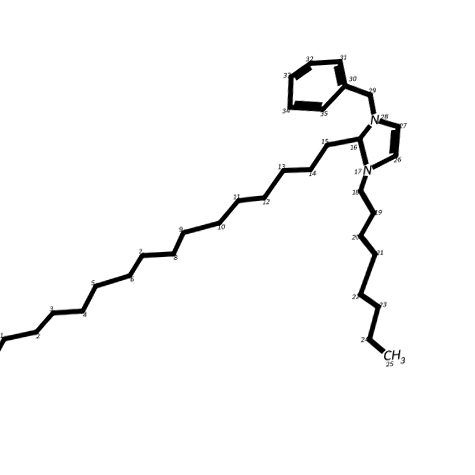 CCCCCCCCCCCCCCCCC1N(CCCCCCCC)C=CN1Cc1ccccc1